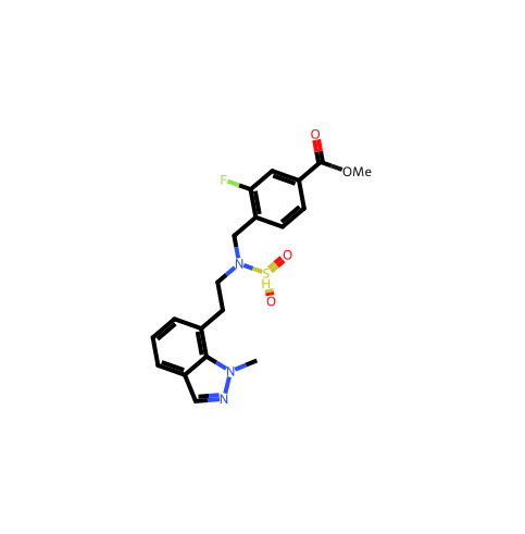 COC(=O)c1ccc(CN(CCc2cccc3cnn(C)c23)[SH](=O)=O)c(F)c1